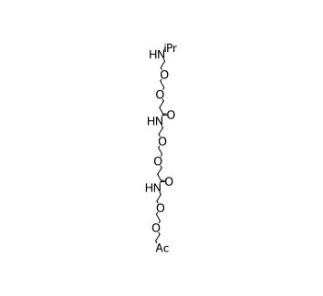 CC(=O)CCOCCOCCNC(=O)CCOCCOCCNC(=O)CCOCCOCCNC(C)C